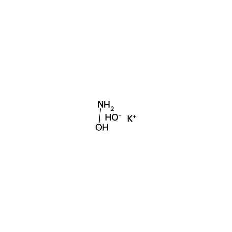 NO.[K+].[OH-]